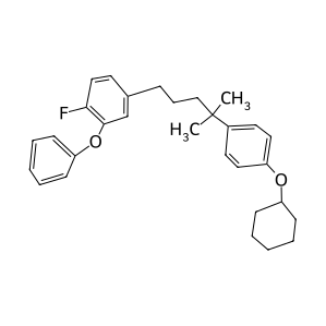 CC(C)(CCCc1ccc(F)c(Oc2ccccc2)c1)c1ccc(OC2CCCCC2)cc1